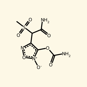 CS(=O)(=O)C(C(N)=O)c1no[n+]([O-])c1OC(N)=O